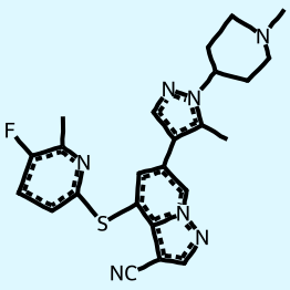 Cc1nc(Sc2cc(-c3cnn(C4CCN(C)CC4)c3C)cn3ncc(C#N)c23)ccc1F